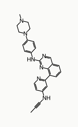 CC#CNc1ccnc(-c2cccc3cnc(Nc4ccc(N5CCN(C)CC5)cc4)nc23)c1